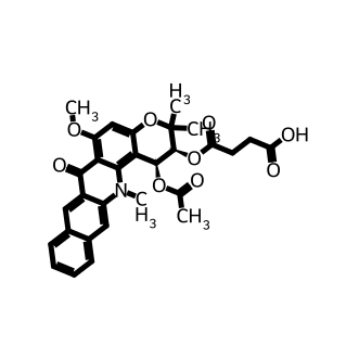 COc1cc2c(c3c1c(=O)c1cc4ccccc4cc1n3C)[C@H](OC(C)=O)[C@H](OC(=O)CCC(=O)O)C(C)(C)O2